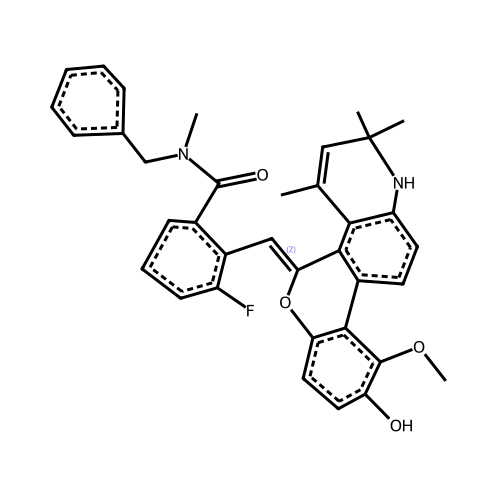 COc1c(O)ccc2c1-c1ccc3c(c1/C(=C/c1c(F)cccc1C(=O)N(C)Cc1ccccc1)O2)C(C)=CC(C)(C)N3